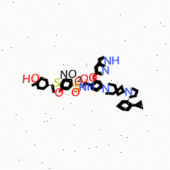 CC1(O)CCC([C@H]2COc3cc(S(=O)(=O)NC(=O)c4ccc(N5CCC6(CC5)CC(N5CCC[C@@H]5c5ccccc5C5CC5)C6)cc4Oc4cnc5[nH]ccc5c4)cc([N+](=O)[O-])c3S2)CC1